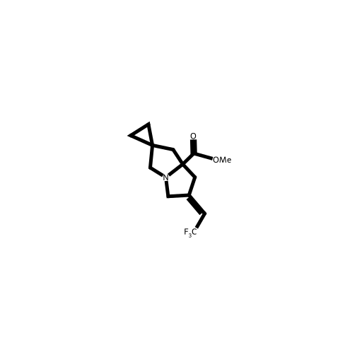 COC(=O)C12CC(=CC(F)(F)F)CN1CC1(CC1)C2